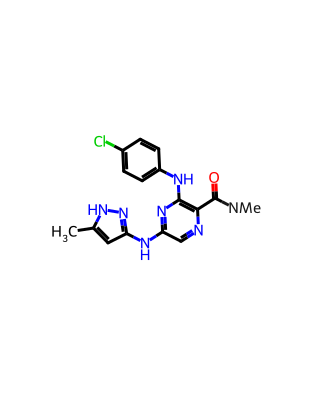 CNC(=O)c1ncc(Nc2cc(C)[nH]n2)nc1Nc1ccc(Cl)cc1